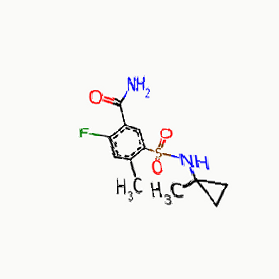 Cc1cc(F)c(C(N)=O)cc1S(=O)(=O)NC1(C)CC1